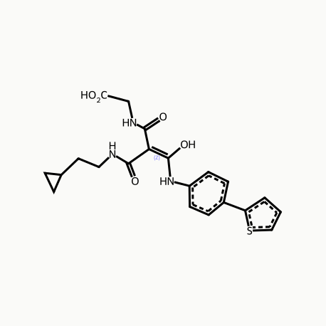 O=C(O)CNC(=O)/C(C(=O)NCCC1CC1)=C(\O)Nc1ccc(-c2cccs2)cc1